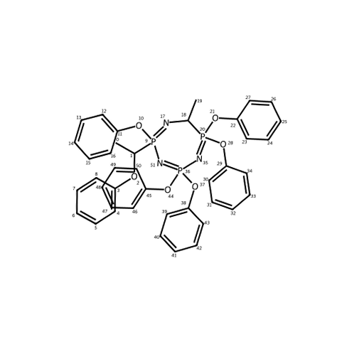 CC(Oc1ccccc1)P1(Oc2ccccc2)=NC(C)P(Oc2ccccc2)(Oc2ccccc2)=NP(Oc2ccccc2)(Oc2ccccc2)=N1